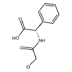 [O]CC(=O)N[C@H](C(=O)O)c1ccccc1